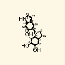 Oc1cc2c(cc1O)N(c1cc3cc[nH]c3cc1O)CC2